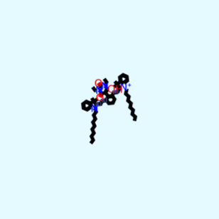 CCCCCCCCCCN1/C(=C/C=C2\CCCC(/C=C/C3=[N+](CCCCCCCCCC)c4ccccc4C3(C)C)=C2c2c(O)n(CC)c(=O)n(CC)c2=O)C(C)(C)c2ccccc21